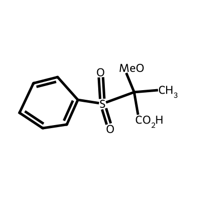 COC(C)(C(=O)O)S(=O)(=O)c1ccccc1